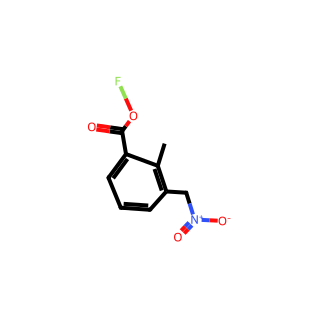 Cc1c(C[N+](=O)[O-])cccc1C(=O)OF